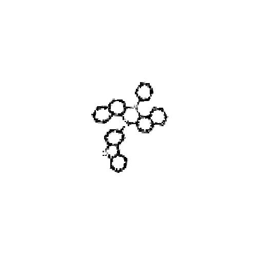 c1ccc(N2c3ccc4ccccc4c3N(c3ccc4oc5ccccc5c4c3)c3ccc4ccccc4c32)cc1